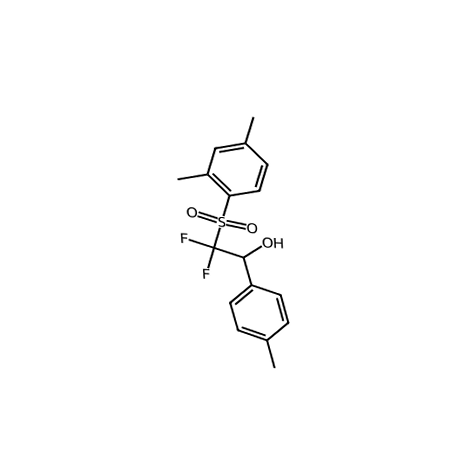 Cc1ccc(C(O)C(F)(F)S(=O)(=O)c2ccc(C)cc2C)cc1